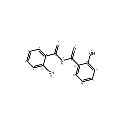 O=C(NC(=O)c1ccccc1O)c1ccccc1O